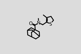 CC1=C(CN(C)C(=O)C23CC4CC(CC(C4)C2)C3)SCC1